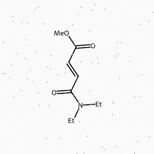 CCN(CC)C(=O)C=CC(=O)OC